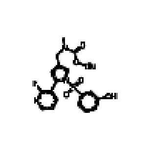 CN(Cc1cc(-c2cccnc2F)n(S(=O)(=O)c2cccc(O)c2)c1)C(=O)OC(C)(C)C